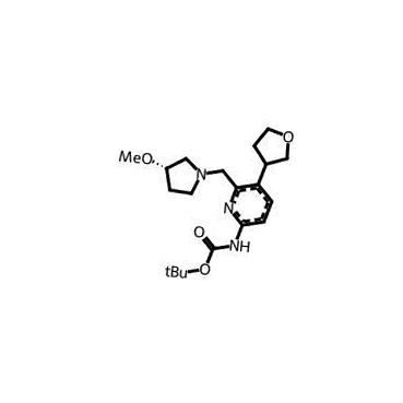 CO[C@H]1CCN(Cc2nc(NC(=O)OC(C)(C)C)ccc2C2CCOC2)C1